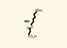 CCCCCCCCCCCCCCCCOC(=O)CCC(=O)O.[KH].[KH]